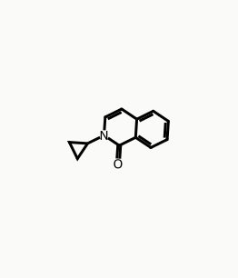 O=c1c2ccccc2ccn1C1CC1